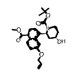 C=CCOc1ccc2c(C(=O)OC)ccc([C@@H]3C[C@@H](O)CCN3C(=O)OC(C)(C)C)c2c1